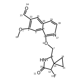 COc1cc2c(OCC3NC(=O)C(F)C34CC4)nccc2cc1C=O